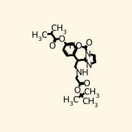 CC(C)C(=O)Oc1ccc(C(CNCC(=O)OC(C)(C)C)c2nccn2C(=O)O)cc1